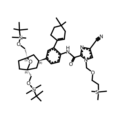 CC1(C)CC=C(c2cc([C@H]3C[C@@]4(CO[Si](C)(C)C(C)(C)C)CC[C@@](CO[Si](C)(C)C(C)(C)C)(C3)O4)ccc2NC(=O)c2nc(C#N)cn2COCC[Si](C)(C)C)CC1